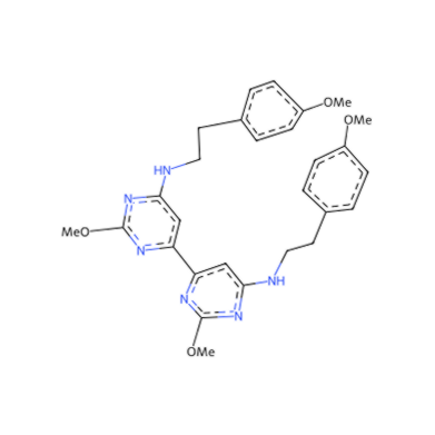 COc1ccc(CCNc2cc(-c3cc(NCCc4ccc(OC)cc4)nc(OC)n3)nc(OC)n2)cc1